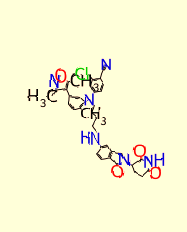 Cc1ccc(-c2c(C)noc2C)cc1N(CCCCCNc1ccc2c(c1)CN(C1CCC(=O)NC1=O)C2=O)c1ccc(C#N)c(Cl)c1